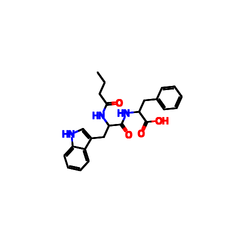 CCCC(=O)NC(Cc1c[nH]c2ccccc12)C(=O)NC(Cc1ccccc1)C(=O)O